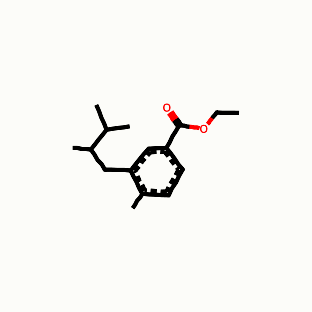 CCOC(=O)c1ccc(C)c(CC(C)C(C)C)c1